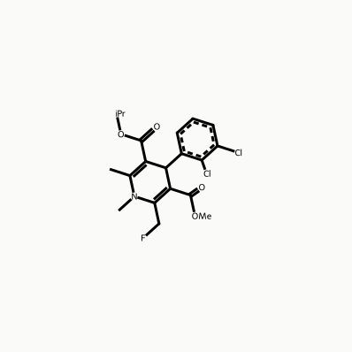 COC(=O)C1=C(CF)N(C)C(C)=C(C(=O)OC(C)C)C1c1cccc(Cl)c1Cl